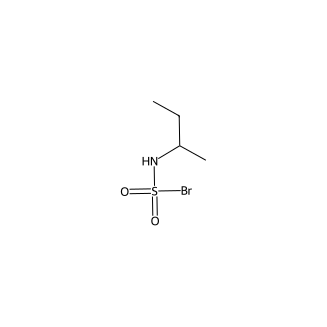 CCC(C)NS(=O)(=O)Br